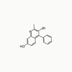 Cc1nc2cc(O)ccc2c(-c2ccccc2)c1C(C)C